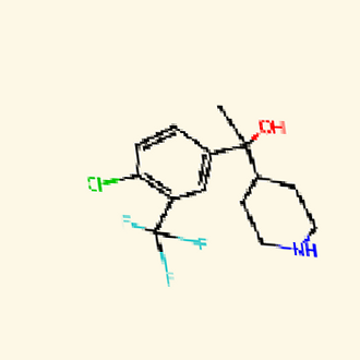 CC(O)(c1ccc(Cl)c(C(F)(F)F)c1)C1CCNCC1